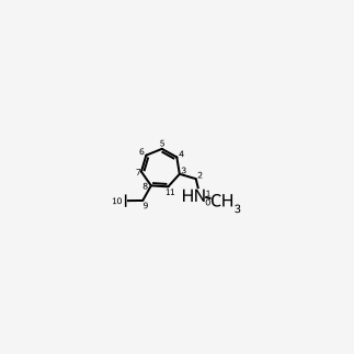 CNCC1C=CC=CC(CI)=C1